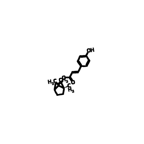 CC1(C)C2CC[C@]1(C)C(OC(=O)C=Cc1ccc(O)cc1)C2